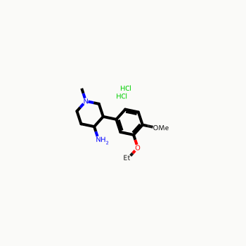 CCOc1cc(C2CN(C)CCC2N)ccc1OC.Cl.Cl